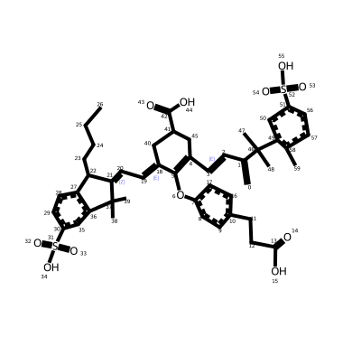 C=C(/C=C/C1=C(Oc2ccc(CCC(=O)O)cc2)C(=C/C=C2/C(CCCC)c3ccc(S(=O)(=O)O)cc3C2(C)C)/CC(C(=O)O)C1)C(C)(C)c1cc(S(=O)(=O)O)ccc1C